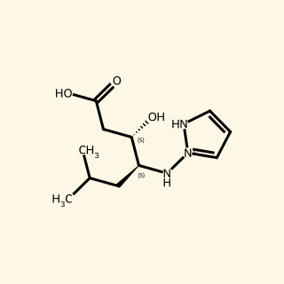 CC(C)C[C@H](N[n+]1ccc[nH]1)[C@@H](O)CC(=O)O